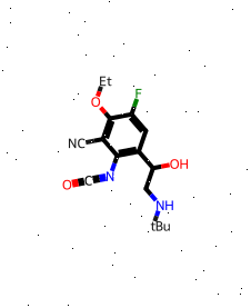 CCOc1c(F)cc(C(O)CNC(C)(C)C)c(N=C=O)c1C#N